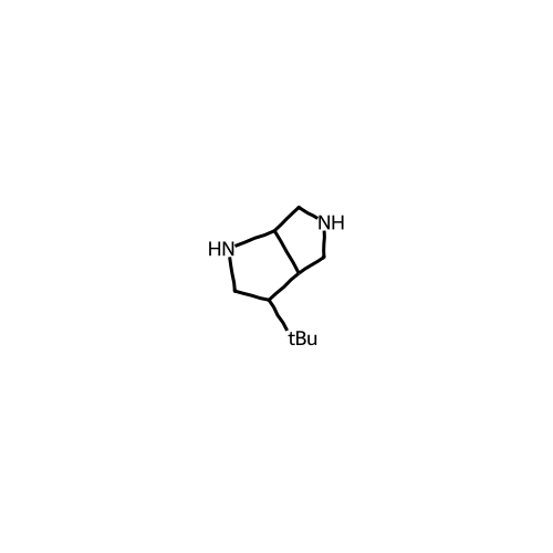 CC(C)(C)C1CNC2CNCC21